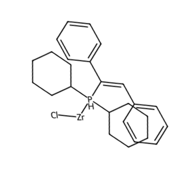 [Cl][Zr][PH](C(=Cc1ccccc1)c1ccccc1)(C1CCCCC1)C1CCCCC1